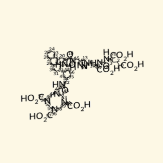 O=C(O)CCC[C@H](NC(=O)N[C@@H](CCn1cc(CNC(=O)[C@H](Cc2c3ccccc3cc3ccccc23)NC(=O)[C@H]2CC[C@H](CNC(=O)CN3CCN(CC(=O)O)CCN(CC(=O)O)CCN(CC(=O)O)CC3)CC2)nn1)C(=O)O)C(=O)O